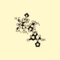 CCOP(=O)(OCC)[C@@](COC)(OC[C@H]1O[C@@H](n2ncc3c(N(C(=O)O)C4CCCC4)cc(Cl)nc32)[C@@H]2OC(C)(C)O[C@@H]21)C(=O)NS(=O)(=O)N1CCC1